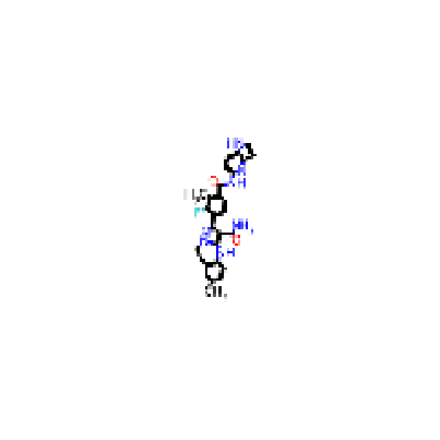 Cc1ccc2c(c1)CCn1nc(-c3ccc(C(=O)Nc4ccc5[nH]ccc5n4)c(C)c3F)c(C(N)=O)c1N2